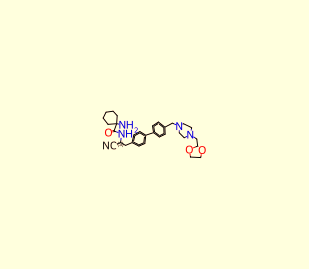 N#C[C@H](Cc1ccc(-c2ccc(CN3CCN(CC4OCCO4)CC3)cc2)cc1)NC(=O)C1(N)CCCCC1